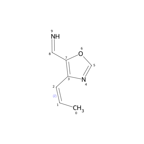 C/C=C\c1ncoc1C=N